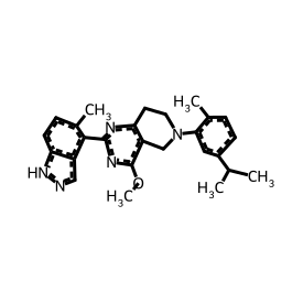 COc1nc(-c2c(C)ccc3[nH]ncc23)nc2c1CN(c1cc(C(C)C)ccc1C)CC2